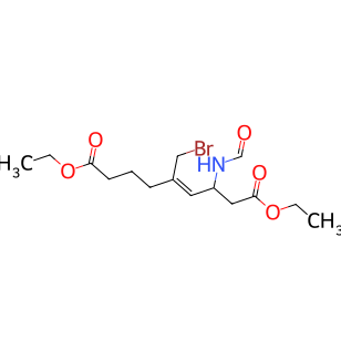 CCOC(=O)CCCC(=CC(CC(=O)OCC)NC=O)CBr